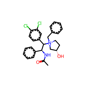 CC(=O)N[C@@H](c1ccccc1)C(c1ccc(Cl)c(Cl)c1)[N+]1(Cc2ccccc2)CC[C@H](O)C1